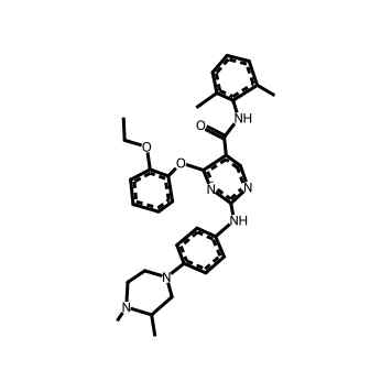 CCOc1ccccc1Oc1nc(Nc2ccc(N3CCN(C)C(C)C3)cc2)ncc1C(=O)Nc1c(C)cccc1C